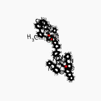 Cc1cc(-c2ccc(C#N)cc2)c(N2/C(=C/C=C3/C(=O)c4cc5ccc(-c6ccc7nc8c(nc7c6)N(c6c7ccccc7nc7ccccc67)/C(=C\C=C6C(=O)c7cc9ccccc9cc7C6=O)N8c6c7ccccc7nc7ccccc67)cc5cc4C3=O)N(c3c(C(C)C)cccc3C(C)C)c3nc4ccccc4nc32)c(-c2ccc(C#N)cc2)c1